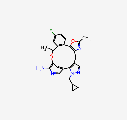 Cc1nc2c(o1)-c1ccc(F)cc1C(C)Oc1cc(cnc1N)-c1c(cnn1CC1CC1)C2